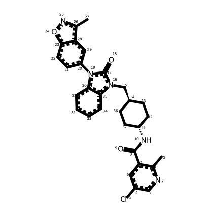 Cc1ncc(Cl)cc1C(=O)N[C@H]1CC[C@H](Cn2c(=O)n(-c3ccc4onc(C)c4c3)c3ccccc32)CC1